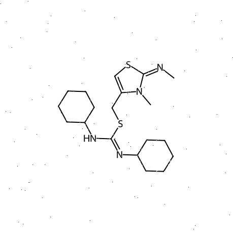 CN=c1scc(CSC(=NC2CCCCC2)NC2CCCCC2)n1C